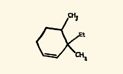 CCC1(C)C=CCCC1C